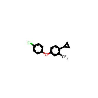 FC(F)(F)c1cc(Oc2ccc(Cl)cc2)ccc1[C]1CC1